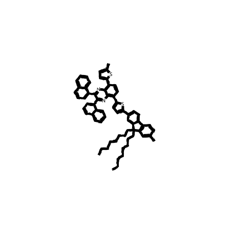 CCCCCCCCC1(CCCCCCCC)c2cc(C)ccc2-c2ccc(-c3ccc(-c4ccc(-c5ccc(C)s5)c5nc(-c6cccc7ccccc67)c(-c6cccc7ccccc67)nc45)s3)cc21